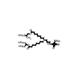 CCCCCCC(C)COC(=O)CCCCCCCN(CCCCCCCC(=O)OC(CCCCC)CCCCCC)CCCNc1c(NC)c(=O)c1=O